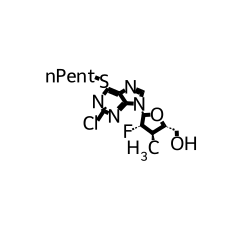 CCCCCSc1nc(Cl)nc2c1ncn2[C@@H]1O[C@H](CO)[C@@H](C)[C@@H]1F